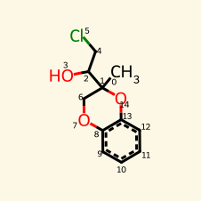 CC1(C(O)CCl)COc2ccccc2O1